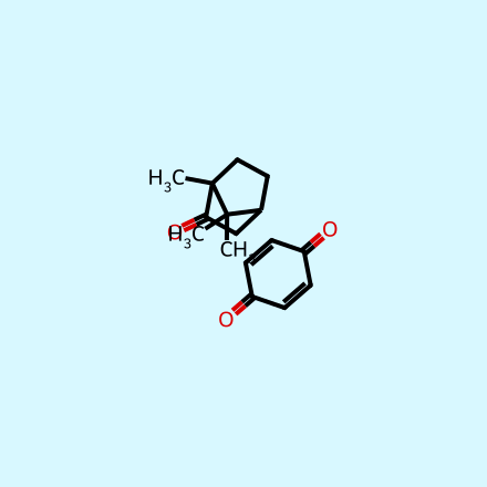 CC12CCC(CC1=O)C2(C)C.O=C1C=CC(=O)C=C1